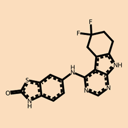 O=c1[nH]c2ccc(Nc3ncnc4[nH]c5c(c34)CC(F)(F)CC5)cc2s1